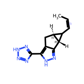 C/C=C\C1[C@@H]2Cc3c(n[nH]c3-c3nn[nH]n3)[C@@H]12